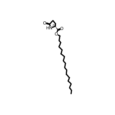 CCCCCCCCCCCCCCCCCCOC(=O)[C@@H]1CCC(=O)N1